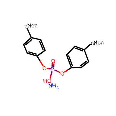 CCCCCCCCCc1ccc(OP(=O)(O)Oc2ccc(CCCCCCCCC)cc2)cc1.N